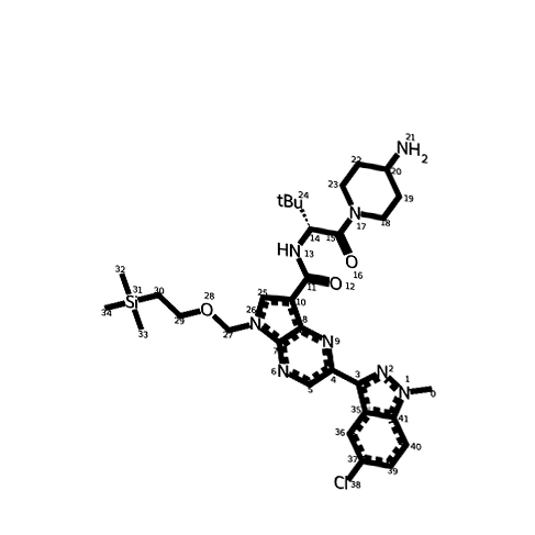 Cn1nc(-c2cnc3c(n2)c(C(=O)N[C@@H](C(=O)N2CCC(N)CC2)C(C)(C)C)cn3COCC[Si](C)(C)C)c2cc(Cl)ccc21